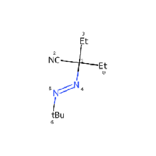 CCC(C#N)(CC)N=NC(C)(C)C